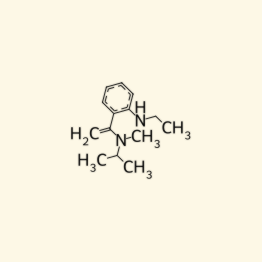 C=C(c1ccccc1NCC)N(C)C(C)C